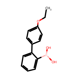 CCOc1ccc(-c2ccccc2B(O)O)cc1